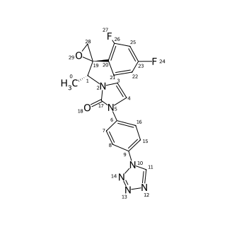 C[C@@H](n1ccn(-c2ccc(-n3cnnn3)cc2)c1=O)[C@@]1(c2ccc(F)cc2F)CO1